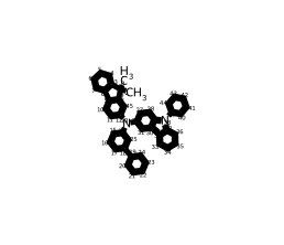 CC1(C)c2ccccc2-c2ccc(N(c3cccc(-c4ccccc4)c3)c3ccc4c(c3)c3ccccc3n4-c3ccccc3)cc21